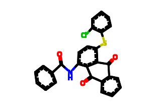 O=C(Nc1ccc(Sc2ccccc2Cl)c2c1C(=O)c1ccccc1C2=O)c1ccccc1